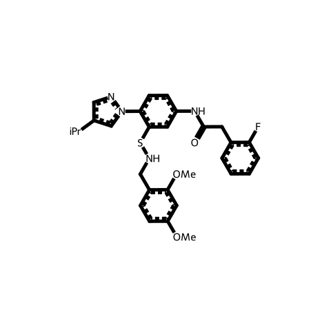 COc1ccc(CNSc2cc(NC(=O)Cc3ccccc3F)ccc2-n2cc(C(C)C)cn2)c(OC)c1